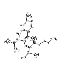 CCCCC(=O)/C(=C\C1=C(C)c2ccc(N)cc2OC1C(C)C)C(=O)O